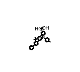 Cc1ccc(-n2c3ccc(B(O)O)cc3c3cc4c(cc32)-c2ccc(-c3ccccc3)cc2C4(C)C)cc1